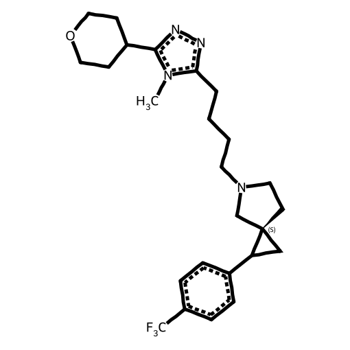 Cn1c(CCCCN2CC[C@]3(CC3c3ccc(C(F)(F)F)cc3)C2)nnc1C1CCOCC1